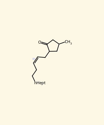 CCCCCCCCC/C=C\CC1CC(C)CC1=O